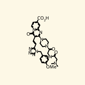 COc1ccc(Cn2nnnc2/C=C/c2c(N3CCN(C(=O)CNC(=O)CN(C)C)CC3)nc3cc(C(=O)O)ccn3c2=O)cc1